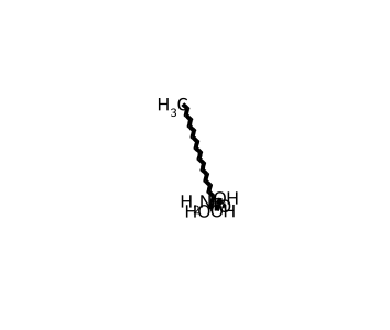 CCCCCCCCCCCCCCCCCCC(N)(CO)P(=O)(O)O